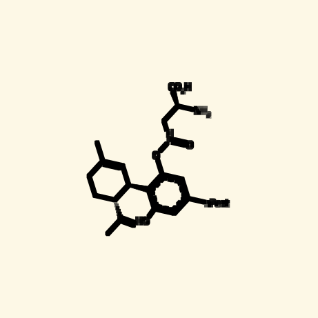 C=C(C)[C@@H]1CCC(C)=C[C@H]1c1c(O)cc(CCCCC)cc1O[PH](=O)C[C@H](N)C(=O)O